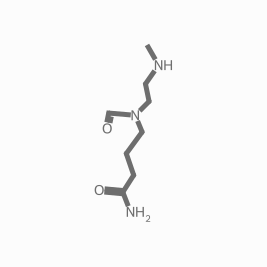 CNCCN(C=O)CCCC(N)=O